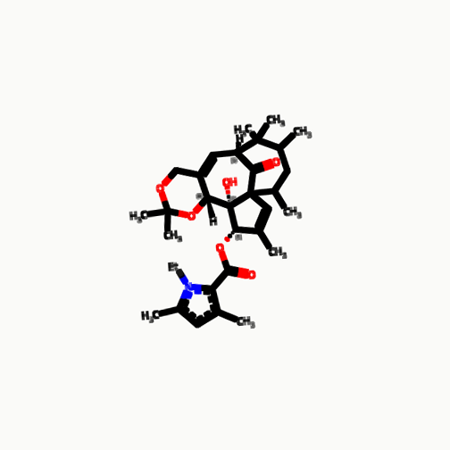 CCn1c(C)cc(C)c1C(=O)O[C@H]1C(C)=CC23C(=O)[C@@H](C=C4COC(C)(C)O[C@H]4[C@]12O)C(C)(C)C(C)CC3C